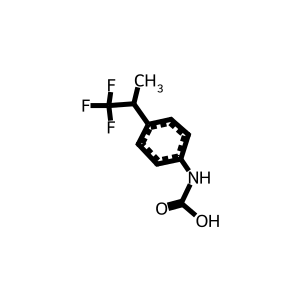 CC(c1ccc(NC(=O)O)cc1)C(F)(F)F